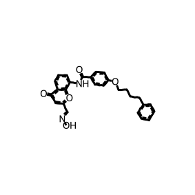 O=C(Nc1cccc2c(=O)cc(C=NO)oc12)c1ccc(OCCCCc2ccccc2)cc1